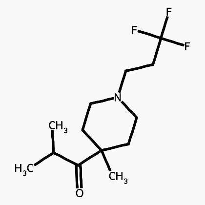 CC(C)C(=O)C1(C)CCN(CCC(F)(F)F)CC1